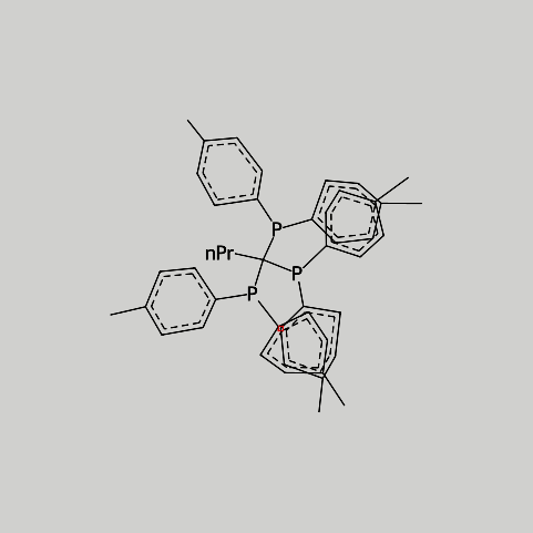 CCCC(P(c1ccc(C)cc1)c1ccc(C)cc1)(P(c1ccc(C)cc1)c1ccc(C)cc1)P(c1ccc(C)cc1)c1ccc(C)cc1